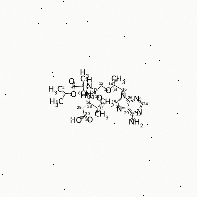 CC(C)OC(=O)C(C)(C)NP(=O)(CO[C@@H](C)Cn1cnc2c(N)ncnc21)N[C@@H](CC(=O)O)C(C)C